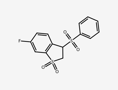 O=S1(=O)CC(S(=O)(=O)c2ccccc2)c2ccc(F)cc21